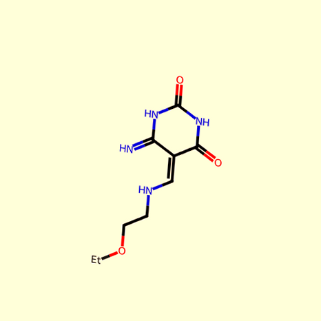 CCOCCN/C=C1\C(=N)NC(=O)NC1=O